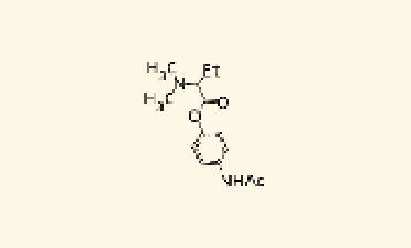 CCC(C(=O)Oc1ccc(NC(C)=O)cc1)N(C)C